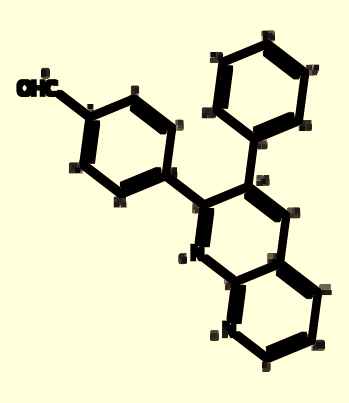 O=Cc1ccc(-c2nc3ncccc3cc2-c2ccccc2)cc1